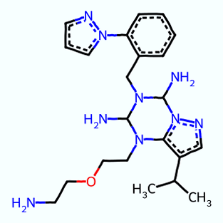 CC(C)c1cnn2c1N(CCOCCN)C(N)N(Cc1ccccc1-n1cccn1)C2N